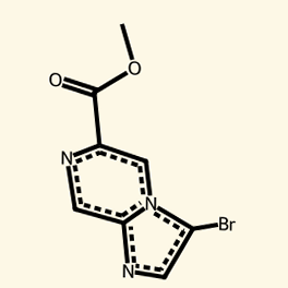 COC(=O)c1cn2c(Br)cnc2cn1